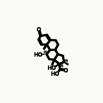 C[C@@H]1CC2C3CCC4=CC(=O)C=CC4(C)C3[C@@H](O)CC2(C)[C@@]1(O)C(=O)O